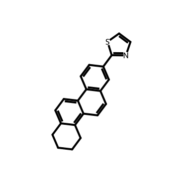 c1csc(-c2ccc3c(ccc4c5c(ccc43)CCCC5)c2)n1